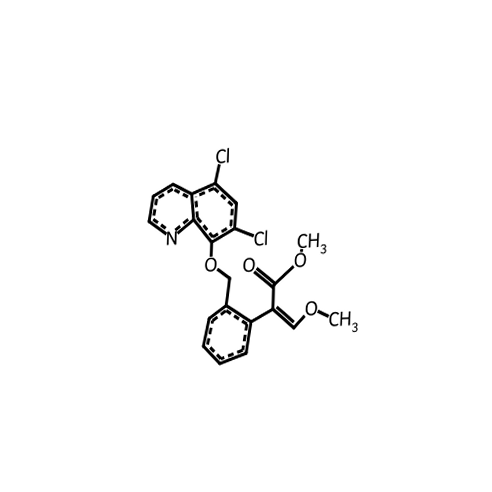 COC=C(C(=O)OC)c1ccccc1COc1c(Cl)cc(Cl)c2cccnc12